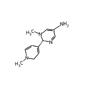 CN1C=CC(C2N=CC(N)=CN2C)=CC1